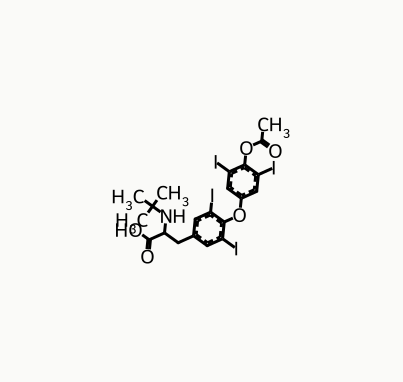 CC(=O)Oc1c(I)cc(Oc2c(I)cc(CC(NC(C)(C)C)C(=O)O)cc2I)cc1I